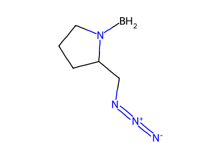 BN1CCCC1CN=[N+]=[N-]